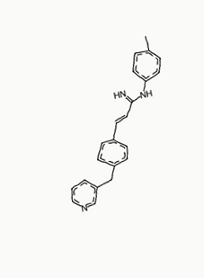 Cc1ccc(NC(=N)/C=C/c2ccc(Cc3cccnc3)cc2)cc1